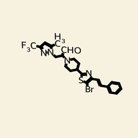 Cc1cc(C(F)(F)F)nn1CC(C=O)N1CCC(c2nc(C=Cc3ccccc3)c(Br)s2)CC1